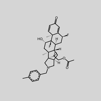 CC(=O)OCC(=O)[C@@]12CN(Cc3ccc(C)cc3)C[C@@H]1C[C@H]1[C@@H]3C[C@H](F)C4=CC(=O)C=C[C@]4(C)[C@@]3(F)[C@@H](O)C[C@@]12C